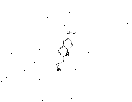 CC(C)OCc1ccc2cc(C=O)ccc2n1